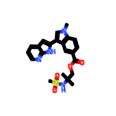 Cn1cc(-c2cc3cccnc3[nH]2)c2cc(C(=O)OCC(C)(C)NS(C)(=O)=O)ccc21